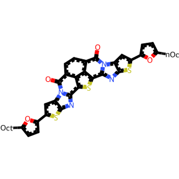 CCCCCCCCc1ccc(-c2cc3c(nc4c5sc6c7c(ccc(c(=O)n34)c57)c(=O)n3c4cc(-c5ccc(CCCCCCCC)o5)sc4nc63)s2)o1